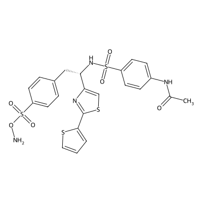 CC(=O)Nc1ccc(S(=O)(=O)N[C@@H](Cc2ccc(S(=O)(=O)ON)cc2)c2csc(-c3cccs3)n2)cc1